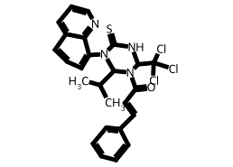 CC(C)C1N(c2cccc3cccnc23)C(=S)NC(C(Cl)(Cl)Cl)N1C(=O)/C=C/c1ccccc1